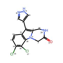 O=C1Cn2c(c(-c3cn[nH]c3)c3ccc(Cl)c(Cl)c32)CN1